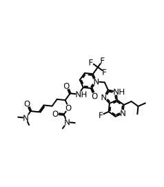 CC(C)Cc1ncc(F)c2nc(Cn3c(C(F)(F)F)ccc(NC(=O)C(CC/C=C/C(=O)N(C)C)OC(=O)N(C)C)c3=O)[nH]c12